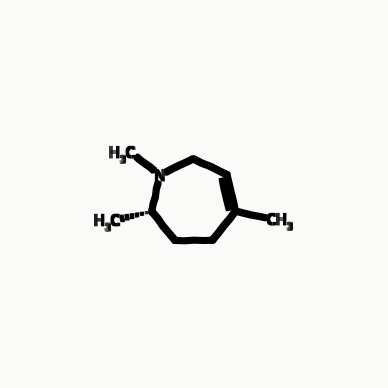 CC1=CCN(C)[C@@H](C)CC1